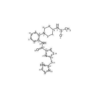 C[S+]([O-])NC1CCN(c2ccccc2NC(=O)c2csc(Sc3ncc[nH]3)n2)CC1